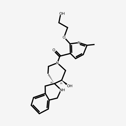 Cc1ccc(C(=O)N2CC[C@]3(Cc4ccccc4CN3)[C@H](O)C2)c(OCCO)n1